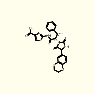 CCC(=O)c1csc(NC(=O)[C@H]([C@@H](C)c2ccccc2)N2C(=O)NC(c3ccc4c(c3)OCCO4)C2=O)n1